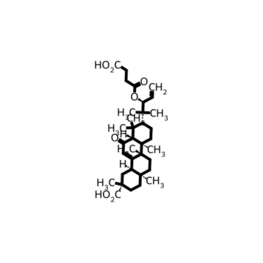 C=C[C@H](OC(=O)CCC(=O)O)C(C)(C)[C@@H]1CC[C@]2(C)[C@H](C(=O)C=C3[C@@H]4C[C@@](C)(C(=O)O)CC[C@]4(C)CC[C@]32C)C1(C)C